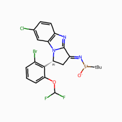 CC(C)(C)[S+]([O-])N=C1C[C@H](c2c(Br)cccc2OC(F)F)n2c1nc1ccc(Cl)cc12